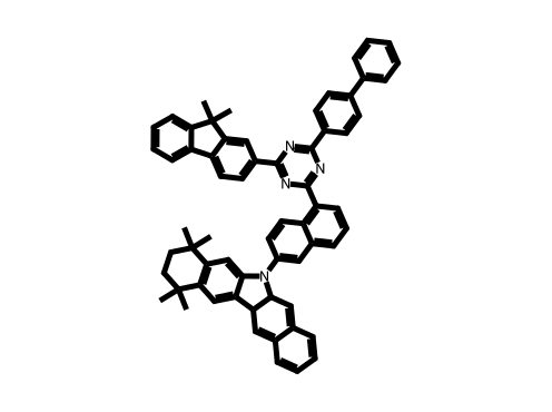 CC1(C)CCC(C)(C)c2cc3c(cc21)C1C=c2ccccc2=CC1N3c1ccc2c(-c3nc(-c4ccc(-c5ccccc5)cc4)nc(-c4ccc5c(c4)C(C)(C)c4ccccc4-5)n3)cccc2c1